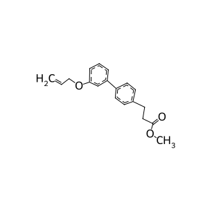 C=CCOc1cccc(-c2ccc(CCC(=O)OC)cc2)c1